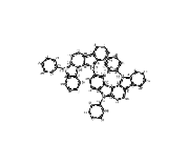 N#Cc1c(-n2c3ccccc3c3ccc4c(c5ccccc5n4-c4ccccc4)c32)ccc2c1c1c(ccc3c4ccccc4n(-c4ccccc4)c31)n2-c1ccccc1